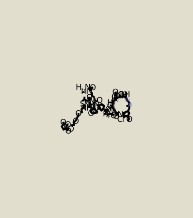 COc1cc2cc(c1Cl)N(C)C(=O)C[C@H](OC(=O)[C@H](C)N(C)C(=O)c1ccc(NC(=O)[C@H](CCCNC(N)=O)NC(=O)[C@@H](NC(=S)NCCOCCOCCC(=O)ON3C(=O)CCC3=O)C(C)C)c(N3CCOCC3)c1)[C@]1(C)O[C@H]1[C@H](C)[C@@H]1C[C@@](O)(NC(=O)O1)[C@H](OC)/C=C/C=C(\C)C2